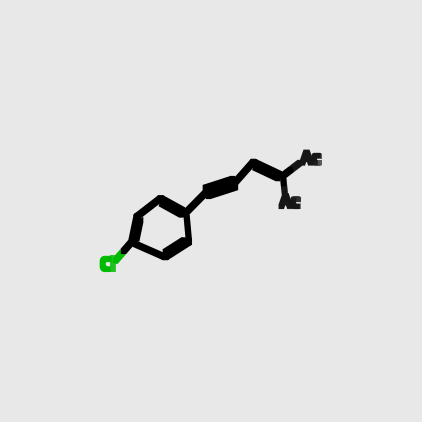 CC(=O)C(=CC#Cc1ccc(Cl)cc1)C(C)=O